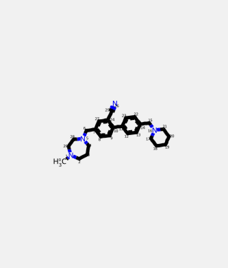 CN1CCCN(Cc2ccc(-c3ccc(CN4CCCCC4)cc3)c(C#N)c2)CC1